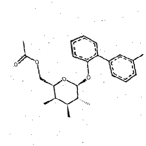 CC(=O)OC[C@H]1O[C@@H](Oc2ccccc2-c2cccc(C)c2)[C@H](C)[C@@H](C)[C@H]1C